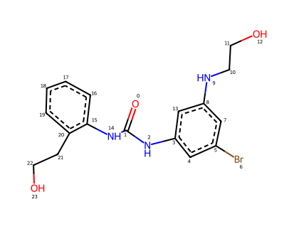 O=C(Nc1cc(Br)cc(NCCO)c1)Nc1ccccc1CCO